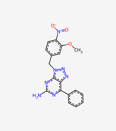 COc1cc(Cn2nnc3c(-c4ccccc4)nc(N)nc32)ccc1[N+](=O)[O-]